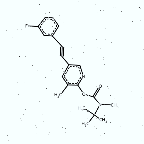 Cc1cc(C#Cc2cccc(F)c2)cnc1OC(=O)N(C)C(C)(C)C